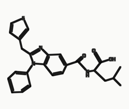 CC(C)CC(NC(=O)c1ccc2c(c1)nc(Cc1ccsc1)n2-c1ccccc1)C(=O)O